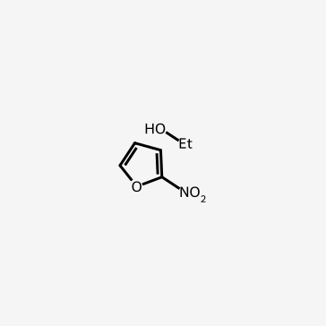 CCO.O=[N+]([O-])c1ccco1